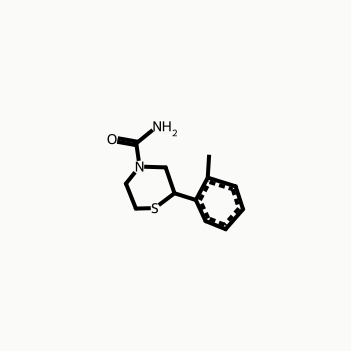 Cc1ccccc1C1CN(C(N)=O)CCS1